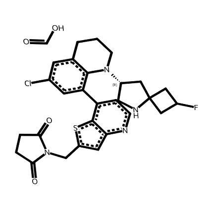 O=C1CCC(=O)N1Cc1cc2nccc(-c3cc(Cl)cc4c3N([C@H]3CNC5(CC(F)C5)C3)CCC4)c2s1.O=CO